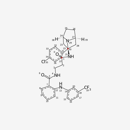 O=C(CCNC(=O)c1ccccc1Nc1cccc(C(F)(F)F)c1)N[C@H]1C[C@H]2CC[C@@H](C1)N2Cc1ccc(Cl)cc1